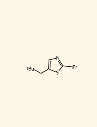 CC(C)c1ncc(CC(C)(C)C)s1